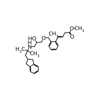 COC(=O)C/C=C/c1ccccc1[C@@H](C)OC[C@H](O)CNC(C)(C)CC1Cc2ccccc2C1